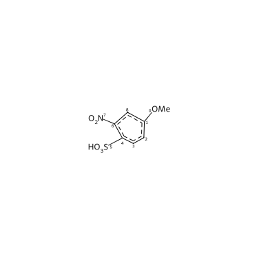 COc1ccc(S(=O)(=O)O)c([N+](=O)[O-])c1